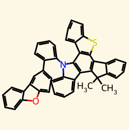 CC1(C)c2ccccc2-c2c1c1c3ccccc3n(-c3ccccc3-c3ccc4oc5ccccc5c4c3)c1c1c2sc2ccccc21